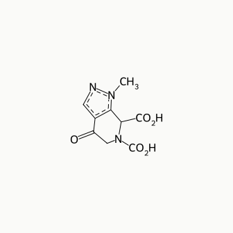 Cn1ncc2c1C(C(=O)O)N(C(=O)O)CC2=O